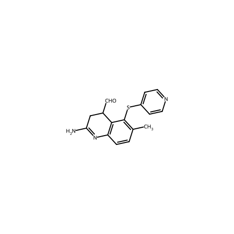 Cc1ccc2c(c1Sc1ccncc1)C(C=O)CC(N)=N2